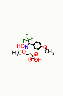 COCCS(=O)(=O)O.COc1ccc(C(=NO)C(F)(F)F)cc1